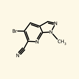 Cn1ncc2cc(Br)c(C#N)nc21